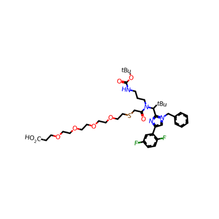 CC(C)(C)OC(=O)NCCCN(C(=O)CSCCOCCOCCOCCOCCC(=O)O)C(c1nc(-c2cc(F)ccc2F)cn1Cc1ccccc1)C(C)(C)C